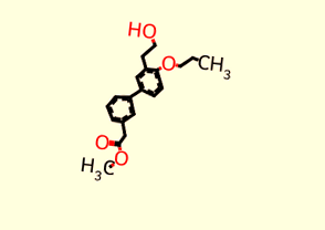 CCCOc1ccc(-c2cccc(CC(=O)OC)c2)cc1CCO